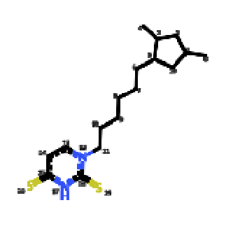 CC1CC(C)C(CCCCCCn2ccc(=S)[nH]c2=S)C1